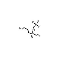 CC[P+](C)(CC)CCOC.F[B-](F)(F)F